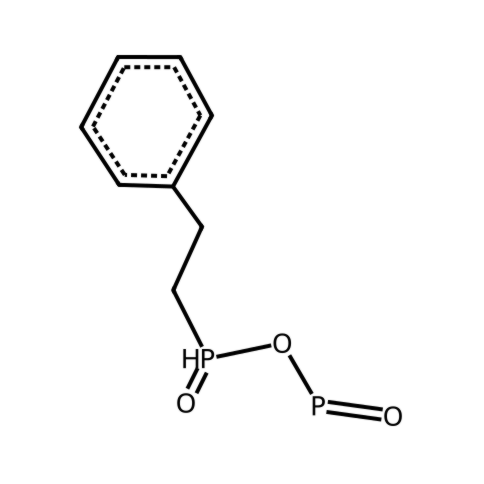 O=PO[PH](=O)CCc1ccccc1